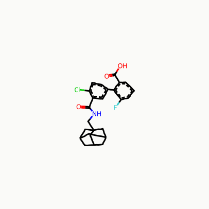 O=C(NCC12CC3CC(CC(C3)C1)C2)c1cc(-c2c(F)cccc2C(=O)O)ccc1Cl